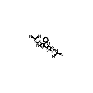 N#CC(C#N)=Nc1nc2sc3c(c2s1)OC1(CCCCC1)c1c-3sc2nc(N=C(C#N)C#N)sc12